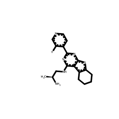 C[C@H](N)CNc1nc(-c2ccncc2F)nc2sc3c(c12)CCCC3